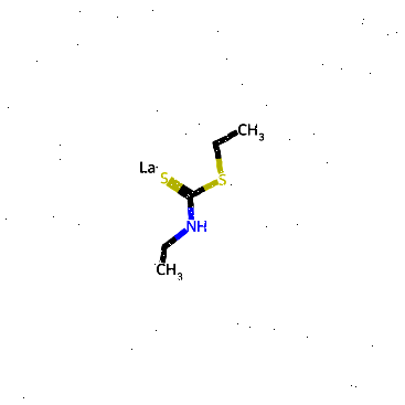 CCNC(=S)SCC.[La]